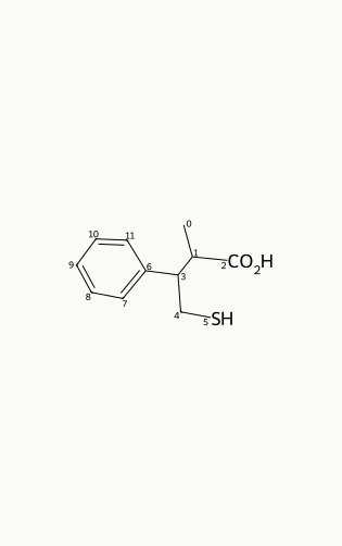 CC(C(=O)O)C(CS)c1ccccc1